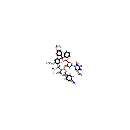 COc1ccc(C(OC[C@H]2O[C@@H](n3cc(C)c(=O)[nH]c3=O)CC2OP(OCc2ccc(C#N)cc2)N(C(C)C)C(C)C)(c2ccccc2)c2ccc(OC)cc2)cc1